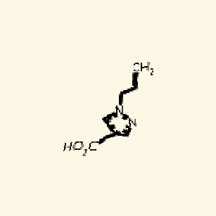 C=CCn1cc(C(=O)O)cn1